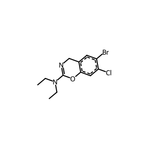 CCN(CC)C1=NCc2cc(Br)c(Cl)cc2O1